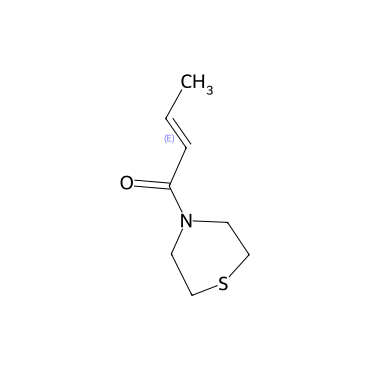 C/C=C/C(=O)N1CCSCC1